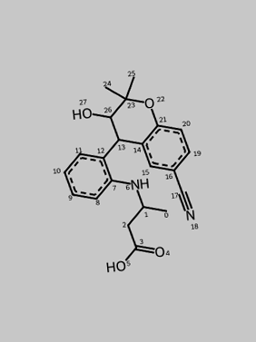 CC(CC(=O)O)Nc1ccccc1C1c2cc(C#N)ccc2OC(C)(C)C1O